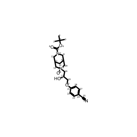 CC(C)(C)OC(=O)N1CC2CC(C1)C[N+]([O-])(C[C@H](O)COc1ccc(C#N)cc1)C2